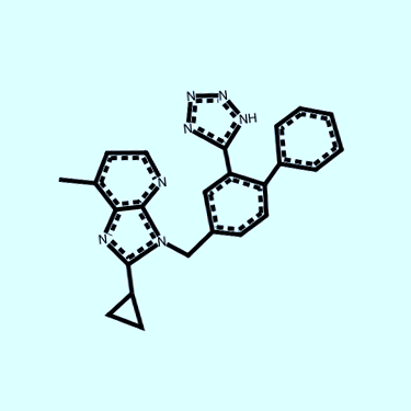 Cc1ccnc2c1nc(C1CC1)n2Cc1ccc(-c2ccccc2)c(-c2nnn[nH]2)c1